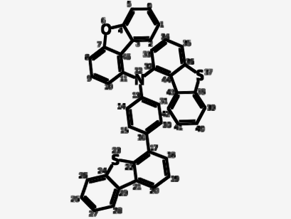 c1ccc2c(c1)oc1cccc(N(c3ccc(-c4cccc5c4sc4ccccc45)cc3)c3cccc4sc5ccccc5c34)c12